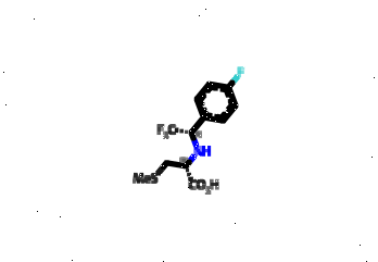 CSC[C@H](N[C@@H](c1ccc(F)cc1)C(F)(F)F)C(=O)O